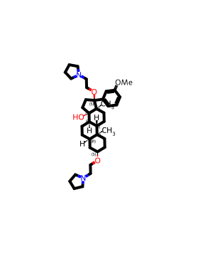 COc1cccc([C@@]2(OCCN3CCCC3)CC[C@]3(O)[C@@H]4CC[C@@H]5C[C@@H](OCCN6CCCC6)CC[C@]5(C)[C@H]4CC[C@]23C)c1